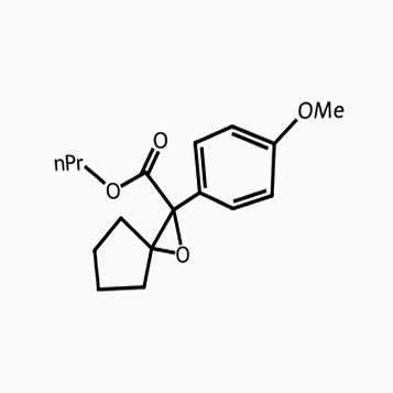 CCCOC(=O)C1(c2ccc(OC)cc2)OC12CCCC2